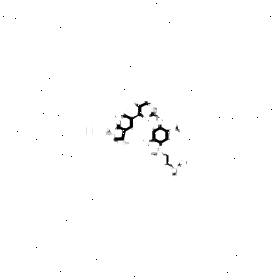 COc1cc(N(C)CCN(C)C)c(N)cc1Nc1ncc(F)c(-c2cnc3c(ccn3C)c2)n1